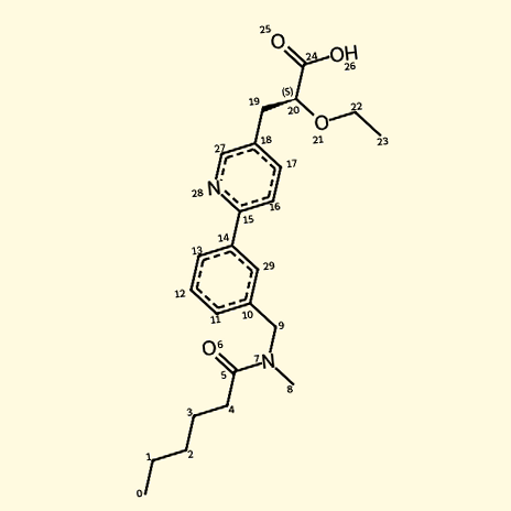 CCCCCC(=O)N(C)Cc1cccc(-c2ccc(C[C@H](OCC)C(=O)O)cn2)c1